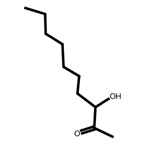 CCCCCCCC(O)C(C)=O